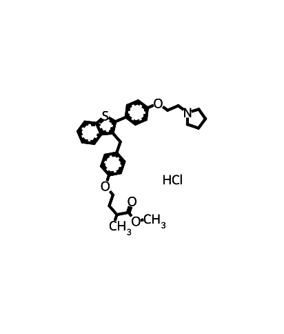 COC(=O)C(C)CCOc1ccc(Cc2c(-c3ccc(OCCN4CCCC4)cc3)sc3ccccc23)cc1.Cl